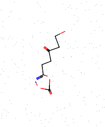 O=C(CCO)CCc1noc(=O)o1